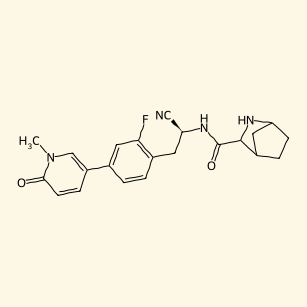 Cn1cc(-c2ccc(C[C@@H](C#N)NC(=O)C3NC4CCC3C4)c(F)c2)ccc1=O